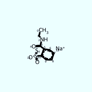 CCNC(=O)c1ccccc1S(=O)([O-])=S.[Na+]